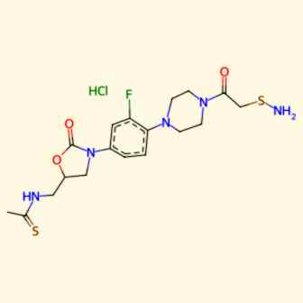 CC(=S)NCC1CN(c2ccc(N3CCN(C(=O)CSN)CC3)c(F)c2)C(=O)O1.Cl